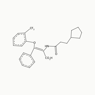 O=C(CCC1CCCC1)NC(C(=O)O)=C(Oc1ccccc1C(F)(F)F)c1ccccc1